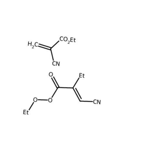 C=C(C#N)C(=O)OCC.CCOOC(=O)C(=CC#N)CC